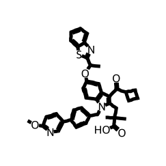 COc1ccc(-c2ccc(Cn3c(CC(C)(C)C(=O)O)c(C(=O)C4CCC4)c4cc(OC(C)c5nc6ccccc6s5)ccc43)cc2)cn1